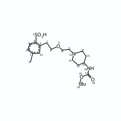 Cc1ccc(S(=O)(=O)O)c(CCOCCN2CCC(NC(=O)OC(C)(C)C)CC2)c1